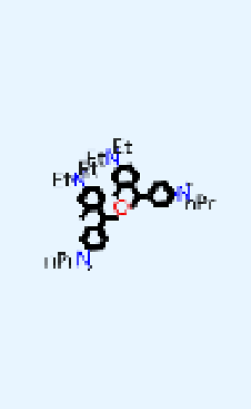 CCCN(C)c1ccc(C(COCC(c2ccc(N(C)CCC)cc2)c2ccc(N(CC)CC)cc2C)c2ccc(N(CC)CC)cc2C)cc1